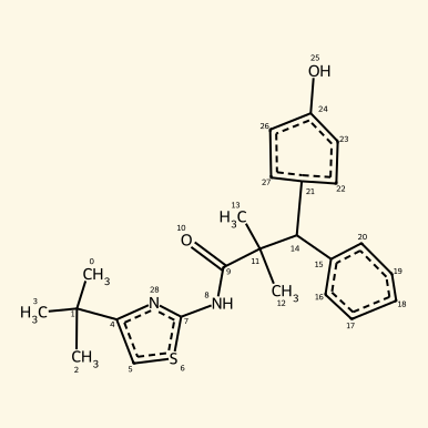 CC(C)(C)c1csc(NC(=O)C(C)(C)C(c2ccccc2)c2ccc(O)cc2)n1